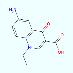 CCn1cc(C(=O)O)c(=O)c2cc(N)ccc21